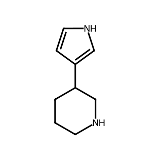 c1cc(C2CCCNC2)c[nH]1